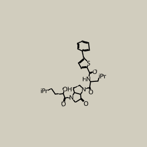 CC(C)CCC(O)C(=O)N1CC(=O)C2C1CCN2C(=O)C(CC(C)C)NC(=O)c1ccc(-c2ccccc2)s1